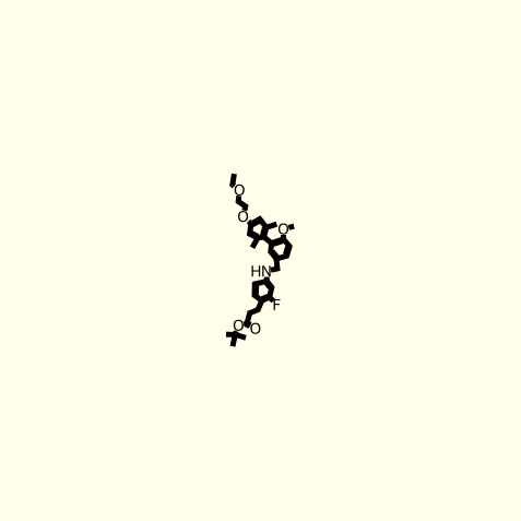 CCOCCOc1cc(C)c(-c2cc(CNc3ccc(CCC(=O)OC(C)(C)C)c(F)c3)ccc2OC)c(C)c1